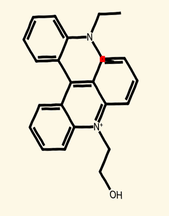 CCN(CC)c1ccccc1-c1c2ccccc2[n+](CCO)c2ccccc12